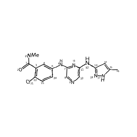 CNC(=O)c1cc(Nc2cncc(Nc3cc(C)[nH]n3)n2)ccc1Cl